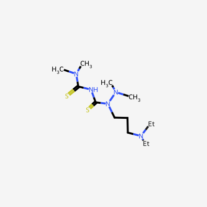 CCN(CC)CCCN(C(=S)NC(=S)N(C)C)N(C)C